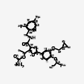 CC(OC(N)=O)c1oc(-c2ccc(OC(F)F)c(OCC3CC3)c2)nc1C(=O)NCc1ncc(F)cc1F